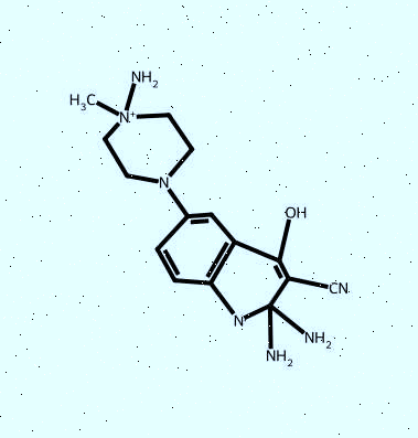 C[N+]1(N)CCN(c2ccc3c(c2)C(O)=C(C#N)C(N)(N)[N]3)CC1